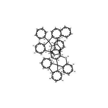 C1=CC2c3c(ccc4ccccc34)C(c3ccccc3)(c3ccccc3-c3cc4c(c5ccccc35)Oc3ccccc3C43c4ccccc4-c4ccccc43)C2C=C1